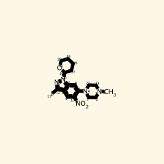 CN1CCN(c2cc3c(cc2[N+](=O)[O-])c(I)nn3C2CCCCO2)CC1